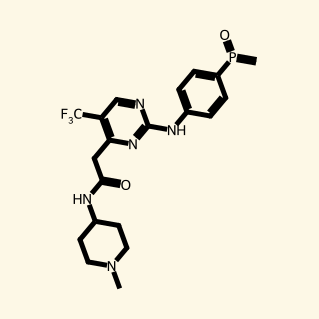 C=P(=O)c1ccc(Nc2ncc(C(F)(F)F)c(CC(=O)NC3CCN(C)CC3)n2)cc1